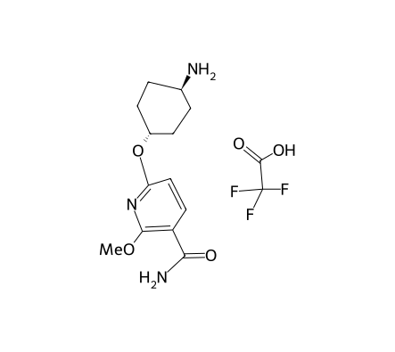 COc1nc(O[C@H]2CC[C@H](N)CC2)ccc1C(N)=O.O=C(O)C(F)(F)F